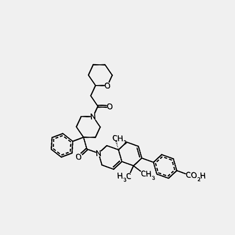 CC1(C)C(c2ccc(C(=O)O)cc2)=CC[C@]2(C)CN(C(=O)C3(c4ccccc4)CCN(C(=O)CC4CCCCO4)CC3)CC=C12